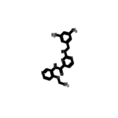 O=C(Nc1cnccc1OCC(F)(F)F)c1ccnc(NCc2cc(C(F)(F)F)cc(C(F)(F)F)c2)n1